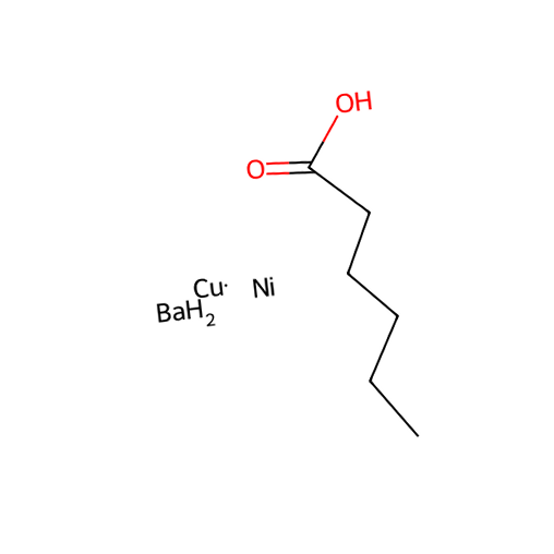 CCCCCC(=O)O.[BaH2].[Cu].[Ni]